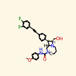 COc1ccc(NC(=O)N2CCCCN3[C@H](CO)[C@H](c4ccc(C#Cc5ccc(F)c(F)c5)cc4)[C@@H]3C2)cc1